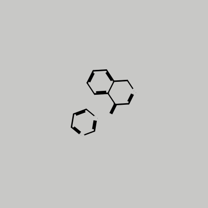 O=C1C=NCc2ccccc21.c1cncnc1